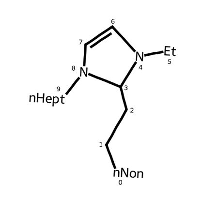 CCCCCCCCCCCC1N(CC)C=CN1CCCCCCC